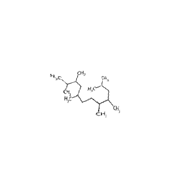 CC(C)CC(C)C(C)CCC(C)CC(C)C(C)C